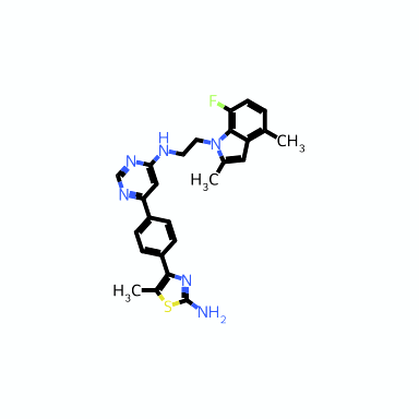 Cc1sc(N)nc1-c1ccc(-c2cc(NCCn3c(C)cc4c(C)ccc(F)c43)ncn2)cc1